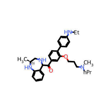 CCCN(C)CCCOc1cc(C(=O)C2NC[C@H](C)Nc3ccccc32)ccc1-c1ccc(NCC)cc1